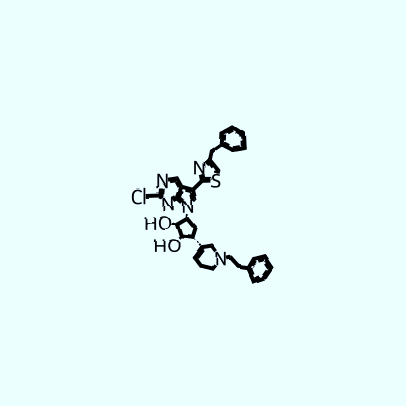 O[C@@H]1[C@H](O)[C@@H](C2=CCCN(CCc3ccccc3)C2)C[C@H]1n1cc(-c2nc(Cc3ccccc3)cs2)c2cnc(Cl)nc21